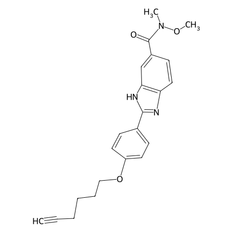 C#CCCCCOc1ccc(-c2nc3ccc(C(=O)N(C)OC)cc3[nH]2)cc1